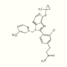 Cc1ccnc(Cn2c(-c3ccc(CCC(N)=O)cc3Cl)nc3c(OC4(C)CC4)ncnc32)c1